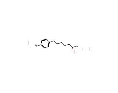 C=Cc1ccc(CCCCCC(O)CC(=O)O)cc1